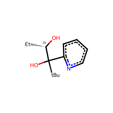 CC[C@H](O)C(O)(c1ccccn1)C(C)(C)C